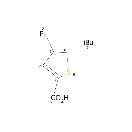 CCc1cc(C(=O)O)sc1[C@H](C)CC